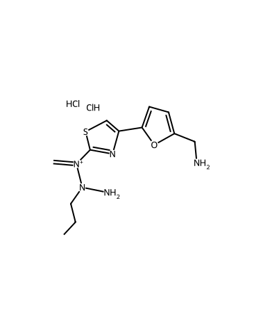 C=[N+](c1nc(-c2ccc(CN)o2)cs1)N(N)CCC.Cl.Cl